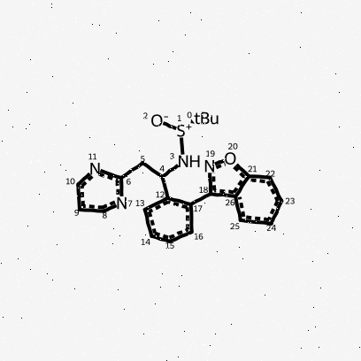 CC(C)(C)[S@+]([O-])NC(Cc1ncccn1)c1ccccc1-c1noc2ccccc12